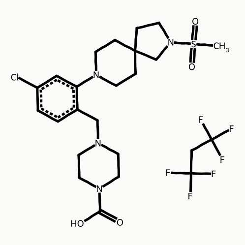 CS(=O)(=O)N1CCC2(CCN(c3cc(Cl)ccc3CN3CCN(C(=O)O)CC3)CC2)C1.FC(F)(F)CC(F)(F)F